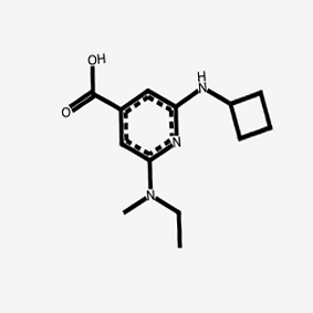 CCN(C)c1cc(C(=O)O)cc(NC2CCC2)n1